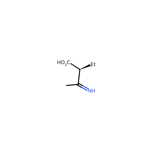 CC[C@@H](C(C)=N)C(=O)O